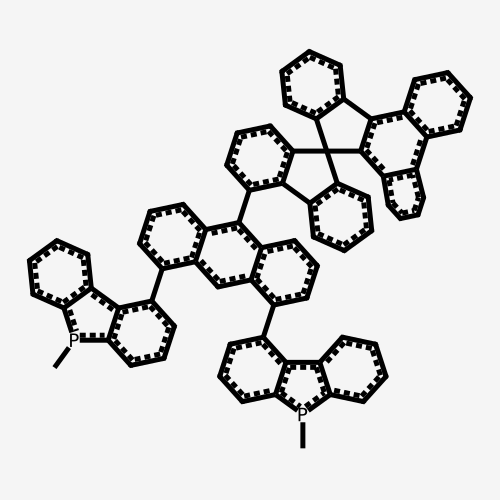 Cp1c2ccccc2c2c(-c3cccc4c(-c5cccc6c5-c5ccccc5C65c6ccccc6-c6c5c5ccccc5c5ccccc65)c5cccc(-c6cccc7c6c6ccccc6p7C)c5cc34)cccc21